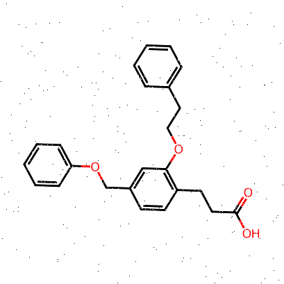 O=C(O)CCc1ccc(COc2ccccc2)cc1OCCc1ccccc1